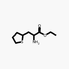 CCOC(=O)C(N)CC1CCCS1